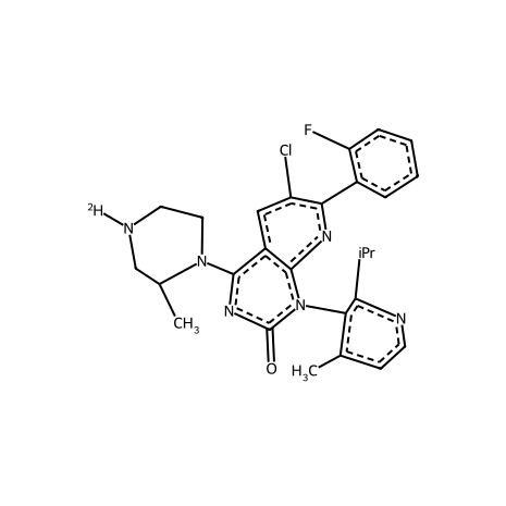 [2H]N1CCN(c2nc(=O)n(-c3c(C)ccnc3C(C)C)c3nc(-c4ccccc4F)c(Cl)cc23)C(C)C1